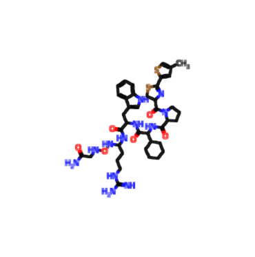 Cc1csc(C2=NC(C(=O)N3CCCC3C(=O)NC(C(=O)NC(Cc3c[nH]c4ccccc34)C(=O)NC(CCCNC(=N)N)NONCC(N)=O)C3CCCCC3)CS2)c1